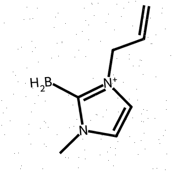 Bc1n(C)cc[n+]1CC=C